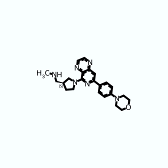 CNC[C@@H]1CCN(c2nc(-c3ccc(N4CCOCC4)cc3)cc3nccnc23)C1